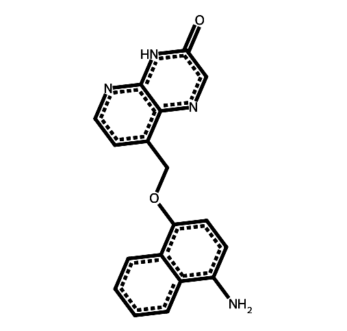 Nc1ccc(OCc2ccnc3[nH]c(=O)cnc23)c2ccccc12